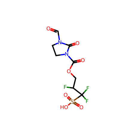 O=CN1CCN(C(=O)OCC(F)C(F)(F)S(=O)(=O)O)C1=O